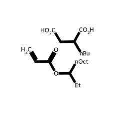 C=CC(=O)OC(CC)CCCCCCCC.CCCCC(CC(=O)O)C(=O)O